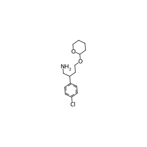 NCC(CCOC1CCCCO1)c1ccc(Cl)cc1